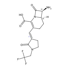 N[C@@H]1C(=O)N2C(C(=O)O)=C(/C=C3\CCN(CC(F)(F)F)C3=O)CC[C@H]12